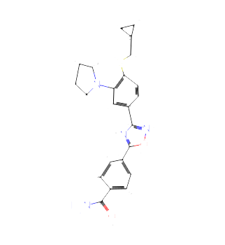 NC(=O)c1ccc(-c2nc(-c3ccc(SCC4CC4)c(N4CCCC4)c3)no2)cc1